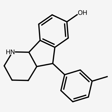 Cc1cccc(C2c3cc(O)ccc3C3NCCCC32)c1